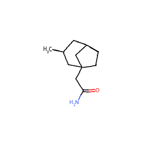 CC1CC2CCC(CC(N)=O)(C1)C2